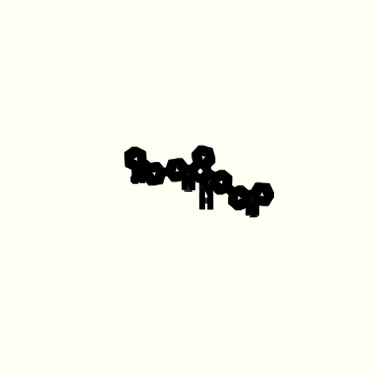 Cn1c2ccccc2c2cc(-c3ccc4c(c3)[nH]c3c4c4ccccc4c4c5ccc(-c6ccc7c(c6)c6ccccc6n7C)cc5n(C)c34)ccc21